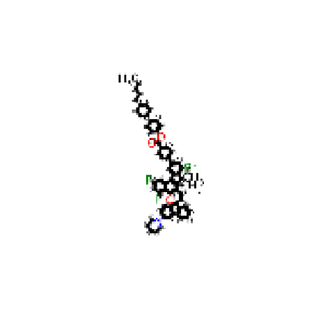 CCCCC[C@H]1CC[C@H](c2ccc(OC(=O)c3ccc(-c4cc(Br)c5c(c4)-c4c(c6c(c7c(F)cc(F)cc47)OC(c4ccccc4)(c4ccc(N7CCCCC7)cc4)C=C6)C5(C)C)cc3)cc2)CC1